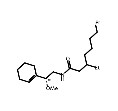 CCC(CCCCC(C)C)CC(=O)NC[C@H](OC)C1=CCCCC1